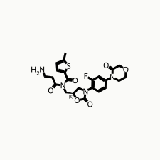 Cc1ccc(C(=O)N(C[C@H]2CN(c3ccc(N4CCOCC4=O)cc3F)C(=O)O2)C(=O)CCN)s1